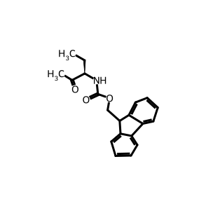 CC[C@@H](NC(=O)OCC1c2ccccc2-c2ccccc21)C(C)=O